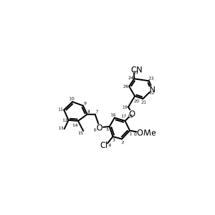 COc1cc(Cl)c(OCc2cccc(C)c2C)cc1OCc1cncc(C#N)c1